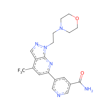 NC(=O)c1cncc(-c2cc(C(F)(F)F)c3cnn(CCN4CCOCC4)c3n2)c1